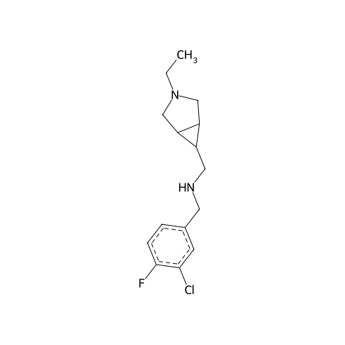 CCN1CC2C(CNCc3ccc(F)c(Cl)c3)C2C1